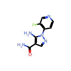 NC(=O)c1cnn(-c2ccncc2F)c1N